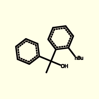 CCCCc1ccccc1C(C)(O)c1ccccc1